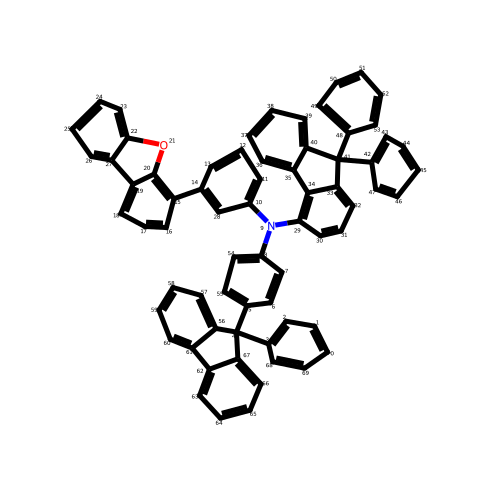 c1ccc(C2(c3ccc(N(c4cccc(-c5cccc6c5oc5ccccc56)c4)c4cccc5c4-c4ccccc4C5(c4ccccc4)c4ccccc4)cc3)c3ccccc3-c3ccccc32)cc1